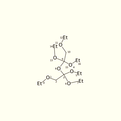 CCOCC(OCC)(OCC)OC(COCC)(OCC)OCC